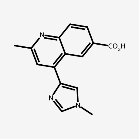 Cc1cc(-c2cn(C)cn2)c2cc(C(=O)O)ccc2n1